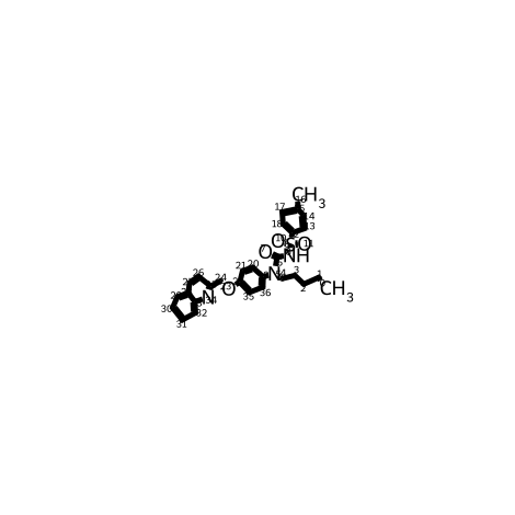 CCCCCN(C(=O)NS(=O)(=O)c1ccc(C)cc1)c1ccc(OCc2ccc3ccccc3n2)cc1